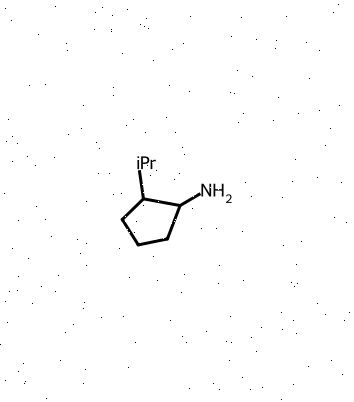 CC(C)C1CCCC1N